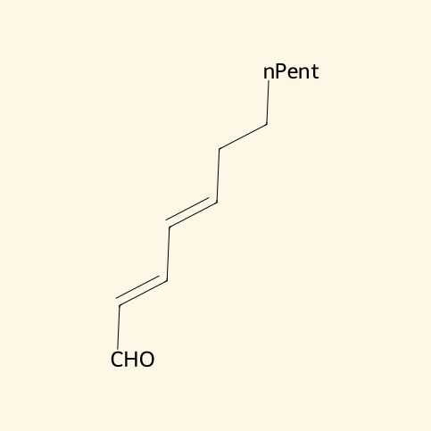 CCCCCCCC=CC=CC=O